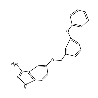 Nc1n[nH]c2ccc(OCc3cccc(Oc4ccccc4)c3)cc12